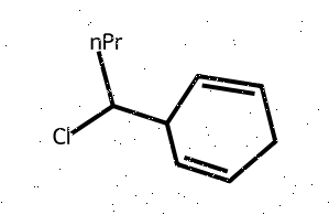 CCCC(Cl)C1C=CCC=C1